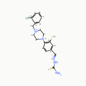 NC(=S)N/N=C/c1ccc(N2CCN(Cc3ccccc3Cl)CC2)c(F)c1